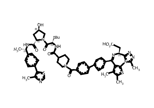 Cc1ncsc1-c1ccc([C@H](C)NC(=O)[C@@H]2C[C@@H](O)CN2C(=O)[C@@H](NC(=O)C2CCN(C(=O)c3ccc(-c4ccc(C5=N[C@@H](CC(=O)O)c6nnc(C)n6-c6sc(C)c(C)c65)cc4)cc3)CC2)C(C)(C)C)cc1